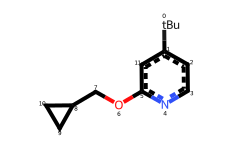 CC(C)(C)c1ccnc(OCC2CC2)c1